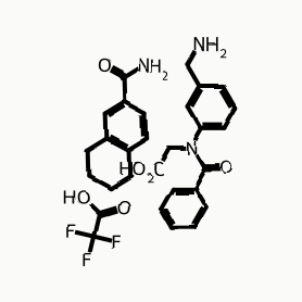 NC(=O)c1ccc2c(c1)CCCC2.NCc1cccc(N(CC(=O)O)C(=O)c2ccccc2)c1.O=C(O)C(F)(F)F